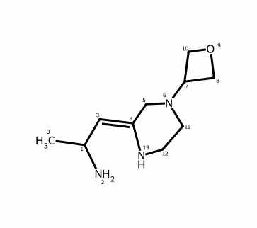 CC(N)/C=C1/CN(C2COC2)CCN1